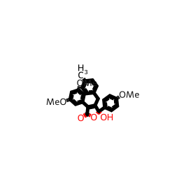 COc1ccc(C2(O)OC(=O)C(c3cc(OC)cc(OC)c3)=C2Cc2ccc(C)cc2)cc1